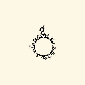 CC(C)C[C@@H]1C(=O)N[C@H](CC(C)C)C(=O)N(C)C(C(C)C)C(=O)N(C)C([C@H](O)[C@H](C)CCN2CCC(F)(F)CC2)C(=O)NC([C@@H](C)O)C(=O)N(C)CC(=O)N(C)[C@@H](CC(C)C)C(=O)N[C@H](CC(C)C)N(C)[C@H](CC(C)C)N[C@H](C)C(=O)OC(=O)N1C